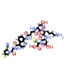 N#C[C@@H]1CC(F)(F)CN1C(=O)CNC(=O)c1ccnc2c(NC(=O)CCC(=O)N[C@@H](CC(=O)O)C(=O)N[C@@H](CCCCN)C(=O)N[C@@H](CC(=O)O)C(=O)N[C@@H](CS)C(=O)O)cccc12